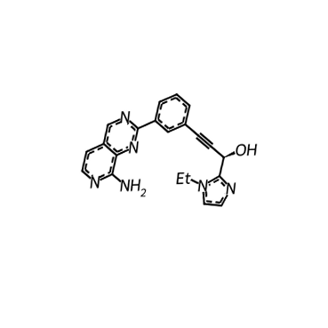 CCn1ccnc1[C@H](O)C#Cc1cccc(-c2ncc3ccnc(N)c3n2)c1